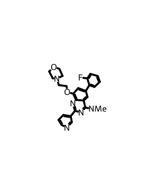 CNc1nc(-c2cccnc2)nc2c(OCCN3CCOCC3)cc(-c3ccccc3F)cc12